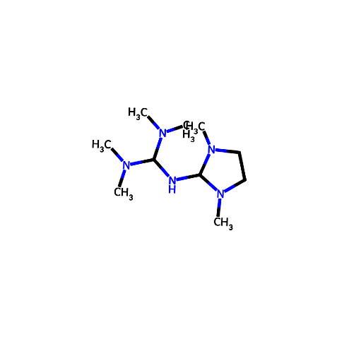 CN(C)C(NC1N(C)CCN1C)N(C)C